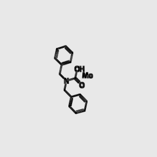 O=C(O)N(Cc1ccccc1)Cc1ccccc1.[Mo]